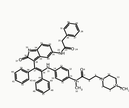 CN1CCN(CCC(=O)N(C)c2ccc(NC(=C(C3=c4cc(NC(=O)Cc5ccccc5)ccc4=NC3=O)c3ccccc3)c3ccccc3)cc2)CC1